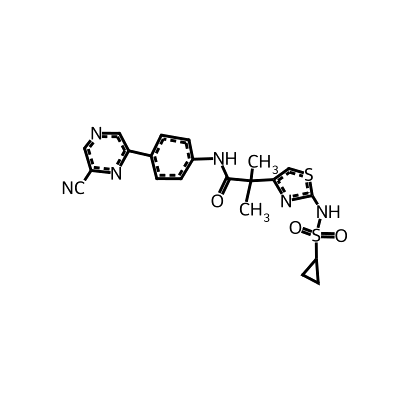 CC(C)(C(=O)Nc1ccc(-c2cncc(C#N)n2)cc1)c1csc(NS(=O)(=O)C2CC2)n1